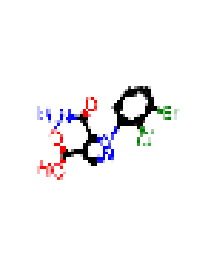 NC(=O)c1c(C(=O)O)cnn1-c1cccc(Br)c1Cl